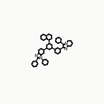 c1ccc(-c2nc3ccc(-c4cc(-c5cccc(-c6nc7ccccn7c6-c6ccccc6)c5)cc(-c5cccc6ccccc56)c4)cc3n2-c2ccccc2)cc1